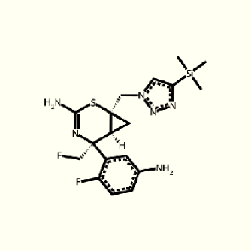 C[Si](C)(C)c1cn(C[C@]23C[C@H]2[C@@](CF)(c2cc(N)ccc2F)N=C(N)S3)nn1